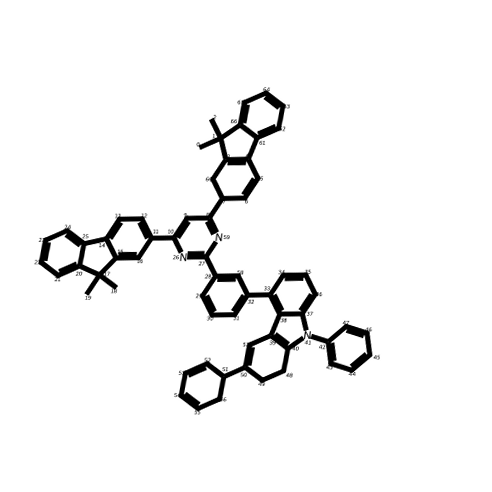 CC1(C)C2=C(C=CC(c3cc(-c4ccc5c(c4)C(C)(C)c4ccccc4-5)nc(-c4cccc(-c5cccc6c5c5c(n6-c6ccccc6)CCC(C6C=CC=CC6)=C5)c4)n3)C2)c2ccccc21